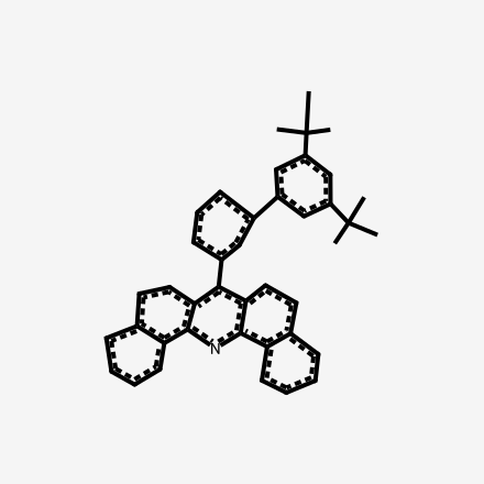 CC(C)(C)c1cc(-c2cccc(-c3c4ccc5ccccc5c4nc4c3ccc3ccccc34)c2)cc(C(C)(C)C)c1